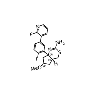 CO[C@@H]1C[C@H]2CSC(N)=N[C@@]2(c2cc(-c3cccnc3F)ccc2F)C1